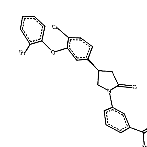 CC(C)c1ccccc1Oc1cc([C@H]2CC(=O)N(c3cccc(C(N)=O)c3)C2)ccc1Cl